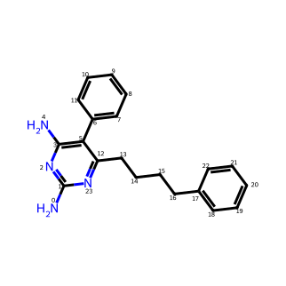 Nc1nc(N)c(-c2ccccc2)c(CCCCc2ccccc2)n1